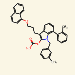 Cc1cccc(Cn2c(OC(=O)O)c(CCCOc3cccc4ccccc34)c3cccc(-c4ccccc4C)c32)c1